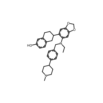 CCN(Cc1ccc(C2CCN(C)CC2)cc1)c1cc2c(cc1C1CCc3cc(O)ccc3C1)OCO2